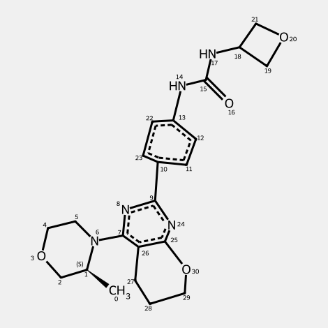 C[C@H]1COCCN1c1nc(-c2ccc(NC(=O)NC3COC3)cc2)nc2c1CCCO2